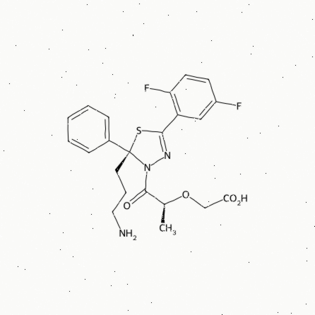 C[C@H](OCC(=O)O)C(=O)N1N=C(c2cc(F)ccc2F)S[C@@]1(CCCN)c1ccccc1